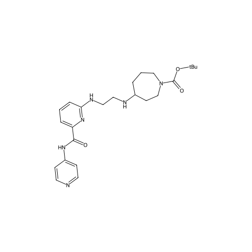 CC(C)(C)OC(=O)N1CCCC(NCCNc2cccc(C(=O)Nc3ccncc3)n2)CC1